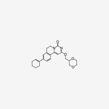 O=c1nc(OCC2COCCO2)cc2n1CCc1cc(C3=CCCCC3)ccc1-2